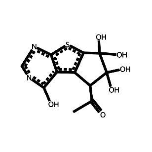 CC(=O)C1c2c(sc3ncnc(O)c23)C(O)(O)C1(O)O